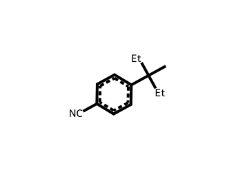 CCC(C)(CC)c1ccc(C#N)cc1